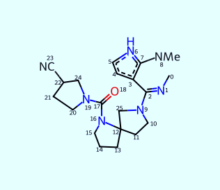 C/N=C(\c1cc[nH]c1NC)N1CCC2(CCCN2C(=O)N2CCC(C#N)C2)C1